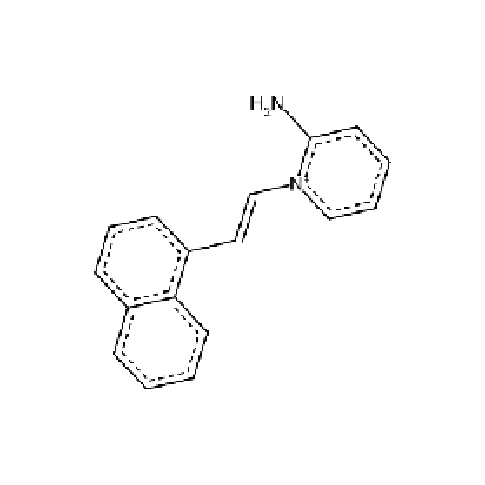 Nc1cccc[n+]1C=Cc1cccc2ccccc12